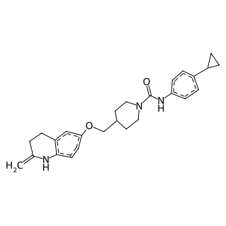 C=C1CCc2cc(OCC3CCN(C(=O)Nc4ccc(C5CC5)cc4)CC3)ccc2N1